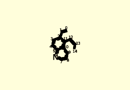 C=Cc1ccc2ncccc2c1/C=C\C